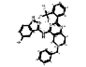 Fc1ccc2[nH]nc(Nc3nc(-c4ccccc4C(F)(F)F)nc4c3CN(Cc3ccccc3)CC4)c2c1